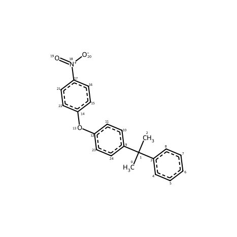 CC(C)(c1ccccc1)c1ccc(Oc2ccc([N+](=O)[O-])cc2)cc1